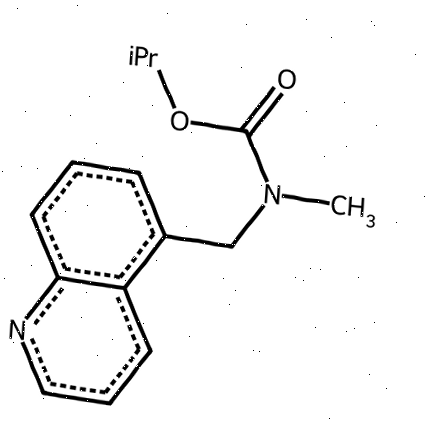 CC(C)OC(=O)N(C)Cc1cccc2ncccc12